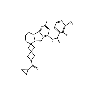 Cc1nc(N[C@H](C)c2cccc(C(F)(F)F)c2F)c2cc3n(c2n1)CCOC31CC2(CN(C(=O)C3CC3)C2)C1